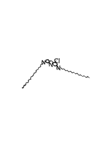 CCCCCCCCCCCCCCCCCCN(C)c1ccc2cc3c(Cl)cc(N(C)CCCCCCCCCCCCCCCCCC)cc3nc2c1